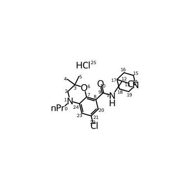 CCCN1CC(C)(C)Oc2c(C(=O)NC3CN4CCC3CC4)cc(Cl)cc21.Cl